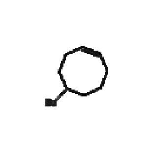 [CH2]CC(C)C1CCC=CCCC1